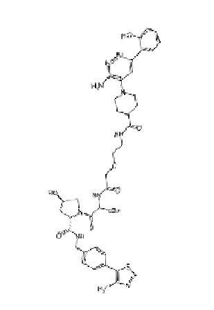 Cc1ncsc1-c1ccc(CNC(=O)[C@@H]2C[C@@H](O)CN2C(=O)C(NC(=O)COCCNC(=O)C2CCN(c3cc(-c4ccccc4O)nnc3N)CC2)C(C)(C)C)cc1